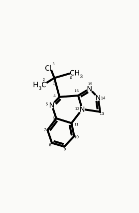 CC(C)(Cl)c1nc2ccccc2n2cnnc12